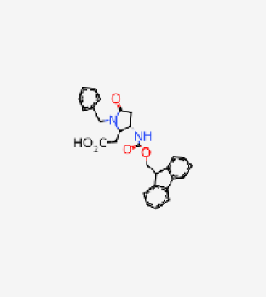 O=C(O)C[C@@H]1[C@@H](NC(=O)OCC2c3ccccc3-c3ccccc32)CC(=O)N1Cc1ccccc1